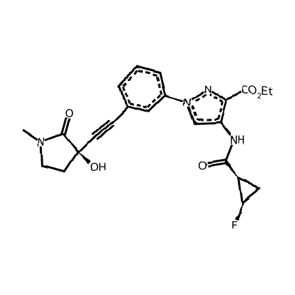 CCOC(=O)c1nn(-c2cccc(C#C[C@]3(O)CCN(C)C3=O)c2)cc1NC(=O)[C@H]1C[C@H]1F